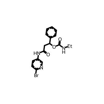 CCNC(=O)OC(CC(=O)Nc1ccc(Br)nc1)c1ccccc1